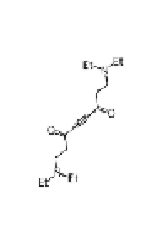 CCN(CC)CCC(=O)C#CC(=O)CCN(CC)CC